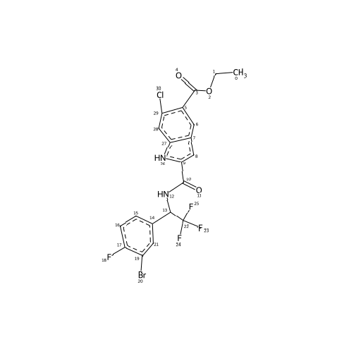 CCOC(=O)c1cc2cc(C(=O)NC(c3ccc(F)c(Br)c3)C(F)(F)F)[nH]c2cc1Cl